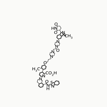 Cc1cc(OCCCN2CCN(CC(=O)N3CCN(c4ccc5c(C6CCC(=O)NC6=O)nn(C)c5c4)CC3)CC2)ccc1-c1ccc(N2CCc3cccc(C(=O)Nc4nc5ccccc5s4)c3C2)nc1C(=O)O